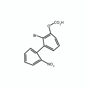 O=C(O)Oc1cccc(-c2ccccc2[N+](=O)[O-])c1Br